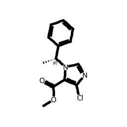 COC(=O)c1c(Cl)ncn1[C@H](C)c1ccccc1